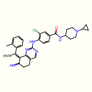 CN/C(=C1\C(=N)CCc2cnc(Nc3ccc(C(=O)NC4CCN(C5CC5)CC4)cc3Cl)nc21)c1ccccc1C